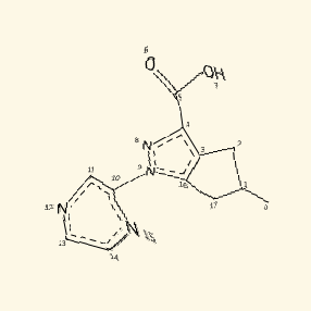 CC1Cc2c(C(=O)O)nn(-c3cnccn3)c2C1